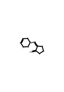 O=C1CCCC1=C[C@@H]1CC=CCC1